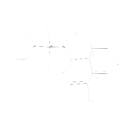 O=C(CF)C(F)(F)C(=O)c1ccc(Br)c2ccccc12